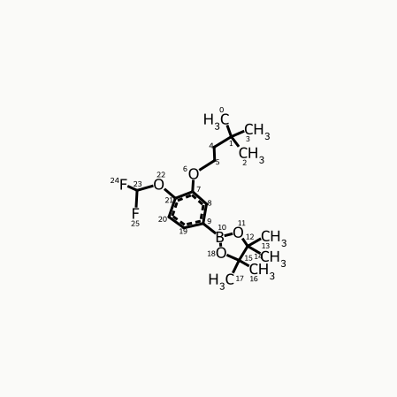 CC(C)(C)CCOc1cc(B2OC(C)(C)C(C)(C)O2)ccc1OC(F)F